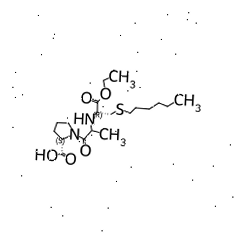 CCCCCCSC[C@H](NC(C)C(=O)N1CCC[C@H]1C(=O)O)C(=O)OCC